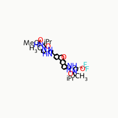 COC(=O)N[C@H](C(=O)N1[C@@H](C)CC[C@H]1c1ncc(-c2ccc3c(c2)COc2cc4c(ccc5nc([C@@H]6C[C@H](COC(F)F)CN6C(=O)[C@@H](C)C(C)C)[nH]c54)cc2-3)[nH]1)C(C)C